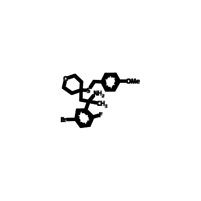 COc1ccc(CSC2(CC(C)(N)c3cc(Br)ccc3F)CCOCC2)cc1